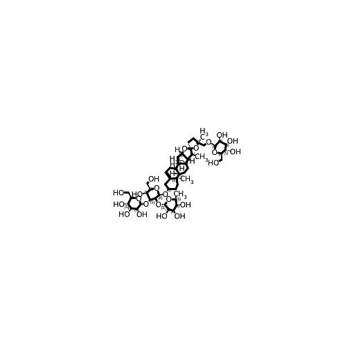 C[C@@H]1O[C@@H](OC2[C@H](O[C@H]3CC[C@@]4(C)C(=CC[C@H]5[C@@H]6C[C@@H]7O[C@]8(CC[C@@](C)(CO[C@@H]9O[C@H](CO)[C@@H](O)[C@H](O)[C@H]9O)O8)[C@@H](C)[C@@H]7[C@@]6(C)CC[C@@H]54)C3)O[C@H](CO)[C@H](O)[C@@H]2O[C@@H]2O[C@H](CO)[C@@H](O)[C@H](O)[C@H]2O)[C@H](O)[C@H](O)[C@H]1O